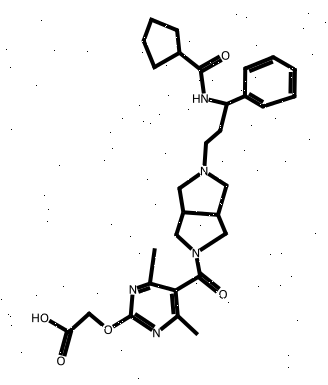 Cc1nc(OCC(=O)O)nc(C)c1C(=O)N1CC2CN(CCC(NC(=O)C3CCCC3)c3ccccc3)CC2C1